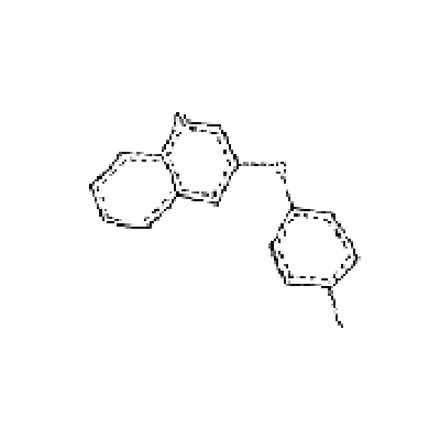 Cc1ccc(Oc2cnc3ccccc3c2)cc1